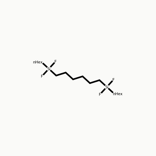 CCCCCC[Si](F)(F)CCCCCC[Si](F)(F)CCCCCC